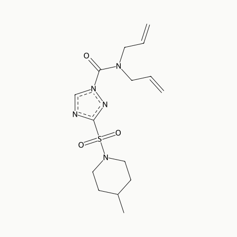 C=CCN(CC=C)C(=O)n1cnc(S(=O)(=O)N2CCC(C)CC2)n1